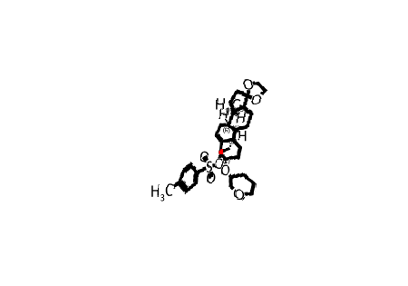 Cc1ccc(S(=O)(=O)OCC[C@]23CC[C@H](OC4CCCOC4)CC2=CC[C@@H]2[C@@H]3CC[C@@]3(C)[C@H]2CCC32OCCO2)cc1